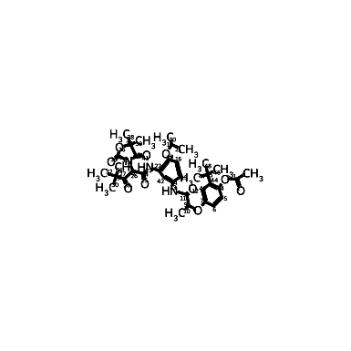 CC(=O)Oc1ccc(OC(C)C(=O)Nc2ccc(OC(C)C)c(NC(=O)C(C(=O)C(C)(C)C)N3C(=O)OC(C)(C)C3=O)c2)cc1C(C)(C)C